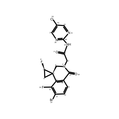 O=C(CN1C[C@]2(C[C@H]2F)c2c(ccc(Br)c2F)C1=O)Nc1ncc(Cl)cn1